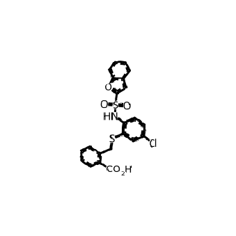 O=C(O)c1ccccc1CSc1cc(Cl)ccc1NS(=O)(=O)c1cc2ccccc2o1